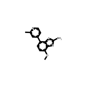 COc1ccc(-c2ccnc(C)c2)c2sc(N)nc12